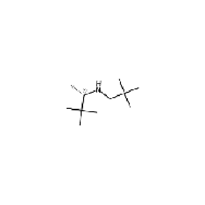 C[C@H](NCC(C)(C)C)C(C)(C)C